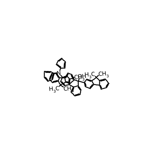 Cc1cc(N(c2ccccc2)c2ccccc2)ccc1-c1ccccc1C(O)(c1ccc2c(c1)C(C)(C)c1ccccc1-2)c1ccc2c(c1)C(C)(C)c1ccccc1-2